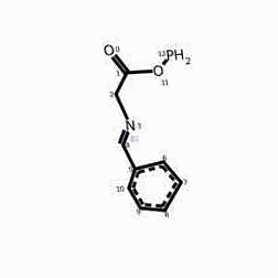 O=C(C/N=C/c1ccccc1)OP